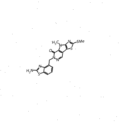 CSc1nc2c(s1)c1cnn(Cc3cccc4sc(N)nc34)c(=O)c1n2C